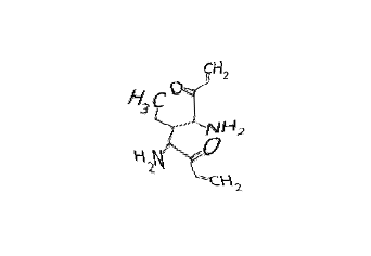 C=CC(=O)C(N)C(CC)C(N)C(=O)C=C